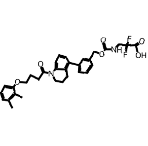 Cc1cccc(OCCCC(=O)N2CCCc3c(-c4cccc(COC(=O)NCC(F)(F)C(=O)O)c4)cccc32)c1C